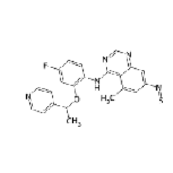 Cc1cc(N=S)cc2ncnc(Nc3ccc(F)cc3OC(C)c3ccncc3)c12